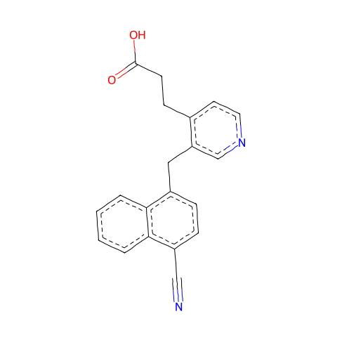 N#Cc1ccc(Cc2cnccc2CCC(=O)O)c2ccccc12